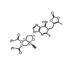 C#C[C@]1(COC(=O)C(C)C)O[C@@H](n2cnc3c(=N)n(Cc4oc(=O)oc4C)c(F)nc32)C[C@@H]1OC(=O)C(C)C